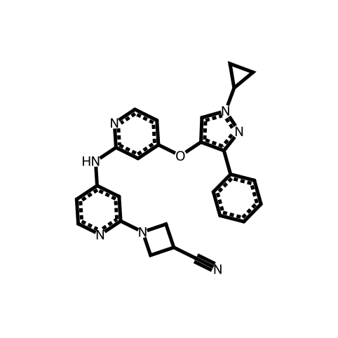 N#CC1CN(c2cc(Nc3cc(Oc4cn(C5CC5)nc4-c4ccccc4)ccn3)ccn2)C1